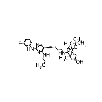 CCCNc1nc(Nc2cccc(F)c2)ncc1C#CCCCNC(=O)[C@]1(C)C[C@@H](O)CN1C(=O)OC(C)(C)C